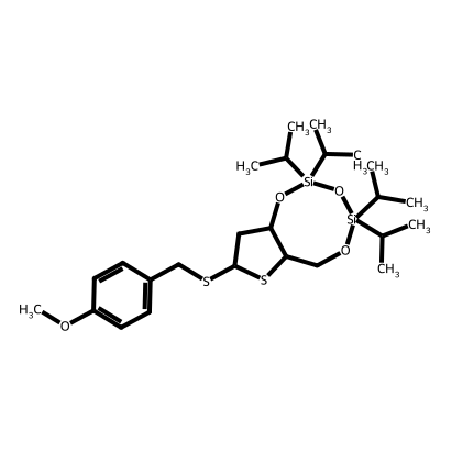 COc1ccc(CSC2CC3O[Si](C(C)C)(C(C)C)O[Si](C(C)C)(C(C)C)OCC3S2)cc1